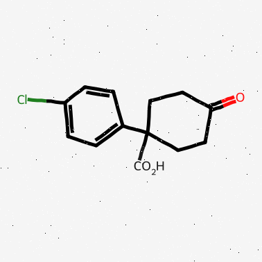 O=C1CCC(C(=O)O)(c2ccc(Cl)cc2)CC1